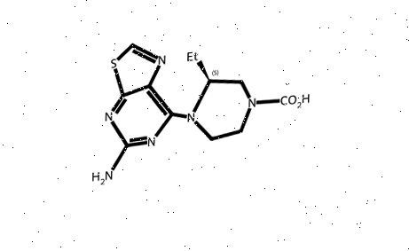 CC[C@H]1CN(C(=O)O)CCN1c1nc(N)nc2scnc12